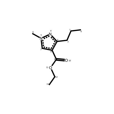 CCCc1nn(C)cc1C(=O)OCC